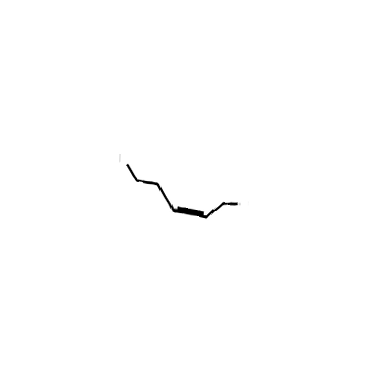 OC/C=C\CCP